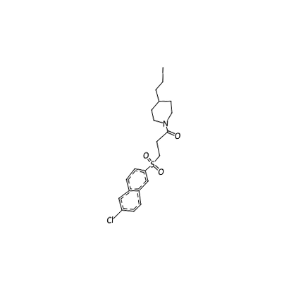 O=C(CCS(=O)(=O)c1ccc2cc(Cl)ccc2c1)N1CCC(CCI)CC1